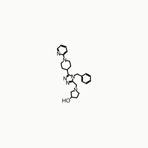 OC1CCN(Cc2nnc(C3CCN(c4ccccn4)CC3)n2Cc2ccccc2)C1